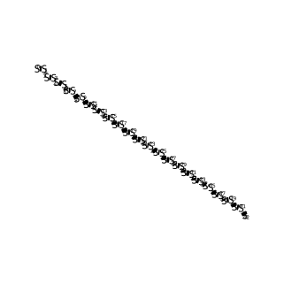 S=S=S=S=S=S=S=S=S=S=S=S=S=S=S=S=S=S=S=S=S=S=S=S=S=S=S=S=S=S=S=S=S=S=S=S=S=S=S=S=S=S=S